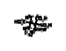 CCCCCCCC(C(=O)O)(C(CCC)(CCC)C(=O)O)S(=O)(=O)O.N